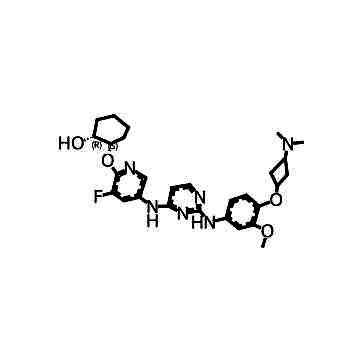 COc1cc(Nc2nccc(Nc3cnc(O[C@H]4CCCC[C@H]4O)c(F)c3)n2)ccc1OC1CC(N(C)C)C1